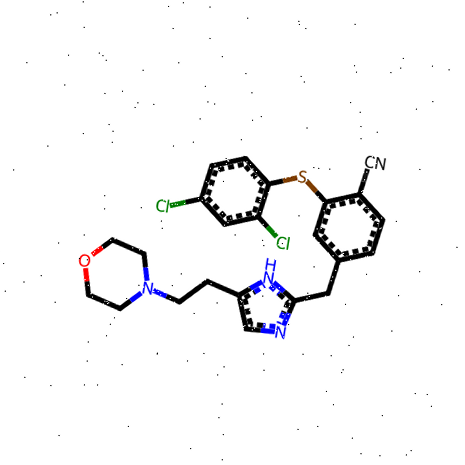 N#Cc1ccc(Cc2ncc(CCN3CCOCC3)[nH]2)cc1Sc1ccc(Cl)cc1Cl